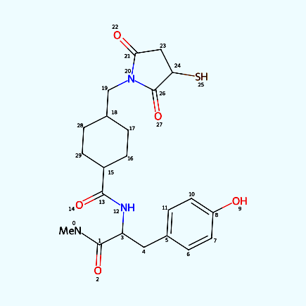 CNC(=O)C(Cc1ccc(O)cc1)NC(=O)C1CCC(CN2C(=O)CC(S)C2=O)CC1